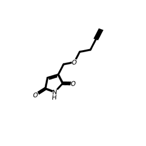 C#CCCOCC1=CC(=O)NC1=O